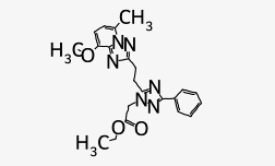 CCOC(=O)Cn1nc(-c2ccccc2)nc1CCc1nc2c(OC)ccc(C)n2n1